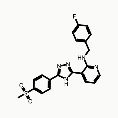 CS(=O)(=O)c1ccc(-c2nnc(-c3cccnc3NCc3ccc(F)cc3)[nH]2)cc1